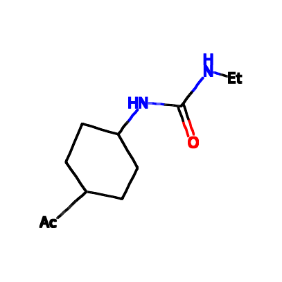 CCNC(=O)NC1CCC(C(C)=O)CC1